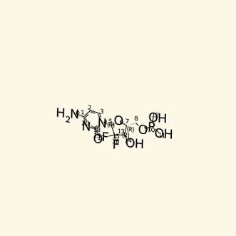 Nc1ccn([C@@H]2O[C@H](COP(O)O)[C@@H](O)C2(F)F)c(=O)n1